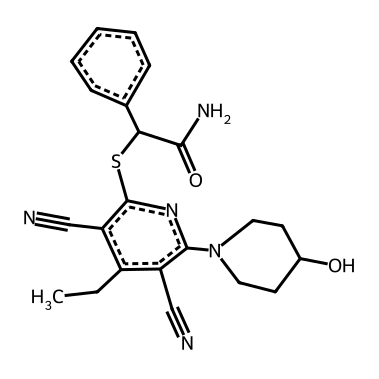 CCc1c(C#N)c(SC(C(N)=O)c2ccccc2)nc(N2CCC(O)CC2)c1C#N